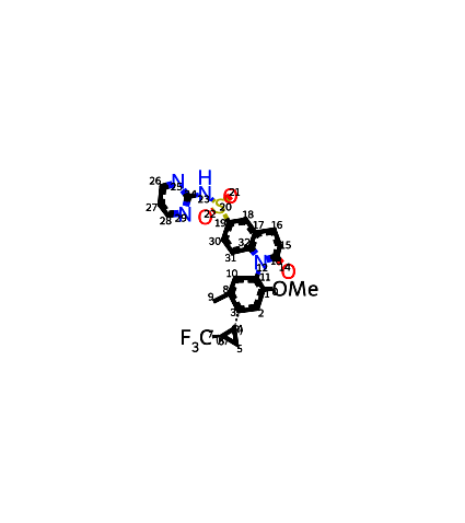 COc1cc([C@@H]2C[C@H]2C(F)(F)F)c(C)cc1-n1c(=O)ccc2cc(S(=O)(=O)Nc3ncccn3)ccc21